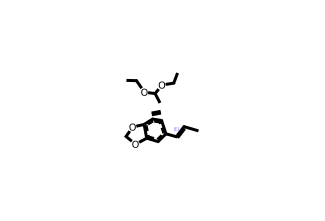 C/C=C/c1ccc2c(c1)OCO2.C=C.CCOC(C)OCC